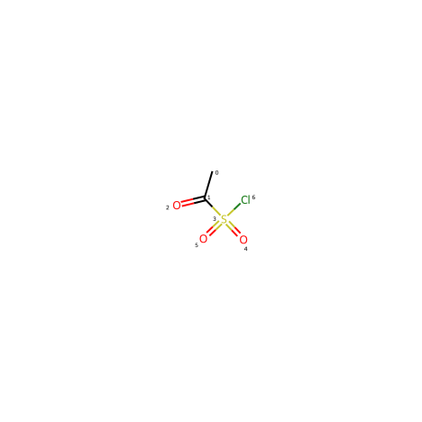 CC(=O)S(=O)(=O)Cl